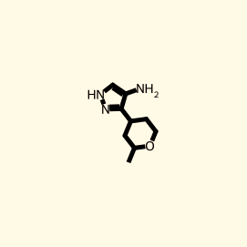 CC1CC(c2n[nH]cc2N)CCO1